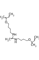 C=CC(=C)OCCCCNC(=C)PCCCCOC(=C)C=C